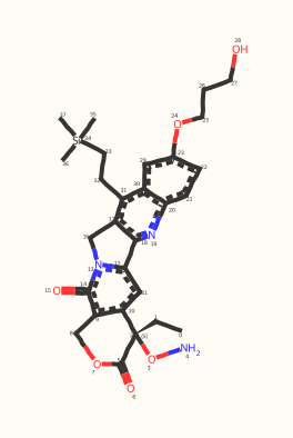 CC[C@@]1(ON)C(=O)OCc2c1cc1n(c2=O)Cc2c-1nc1ccc(OCCCO)cc1c2CC[Si](C)(C)C